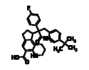 CC(C)(C)c1ccc(CC(C(N)=O)(c2ccc(F)cc2)C2CCc3cc(C(=O)O)c4c(c32)CCCN4)cc1